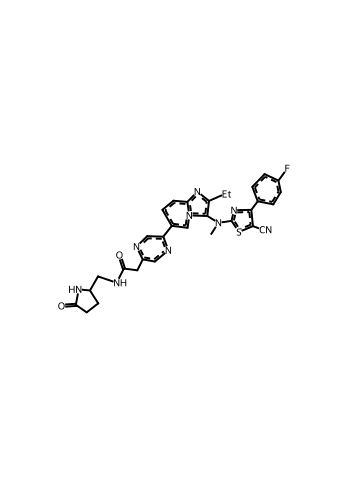 CCc1nc2ccc(-c3cnc(CC(=O)NCC4CCC(=O)N4)cn3)cn2c1N(C)c1nc(-c2ccc(F)cc2)c(C#N)s1